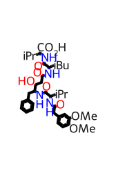 CCC(C)C(NC(=O)CC(O)C(Cc1ccccc1)NC(=O)C(NC(=O)Cc1ccc(OC)c(OC)c1)C(C)C)C(=O)NC(C(=O)O)C(C)C